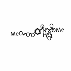 COCCOCOc1ccc(C(=O)NCC(C(=O)OC)N2CCOCC2)cc1